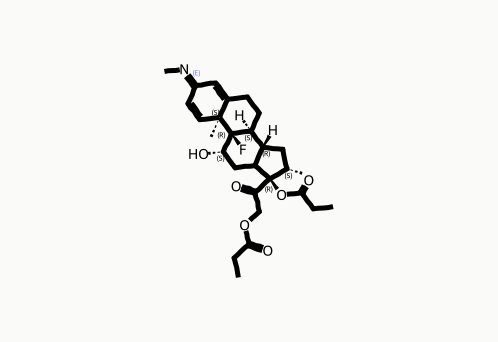 CCC(=O)OCC(=O)[C@]1(OC(=O)CC)C2C[C@H](O)[C@@]3(F)[C@@H](CCC4=C/C(=N/C)C=C[C@@]43C)[C@@H]2C[C@@H]1C